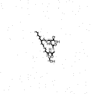 CCCCCC(CCSSCC(COCO)NC(C)=O)SSCC(NC(C)=O)C(=O)O